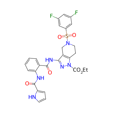 CCOC(=O)n1nc(NC(=O)c2ccccc2NC(=O)c2ccc[nH]2)c2c1CCN(S(=O)(=O)c1cc(F)cc(F)c1)C2